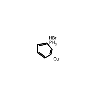 Br.P.[Cu].c1ccccc1